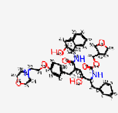 O=C(NC(Cc1ccccc1)C(O)CC(Cc1ccc(OCCN2CCOCC2)cc1)C(=O)N[C@H]1c2ccccc2C[C@@H]1O)OCC1CCOC1